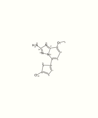 COc1ccc(-c2ccc(Cl)s2)n2nc(N)nc12